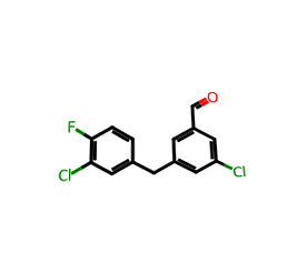 O=Cc1cc(Cl)cc(Cc2ccc(F)c(Cl)c2)c1